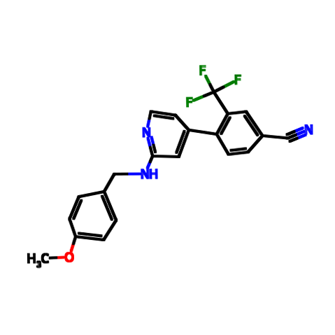 COc1ccc(CNc2cc(-c3ccc(C#N)cc3C(F)(F)F)ccn2)cc1